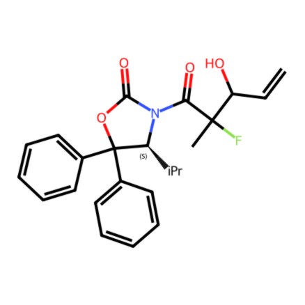 C=CC(O)C(C)(F)C(=O)N1C(=O)OC(c2ccccc2)(c2ccccc2)[C@@H]1C(C)C